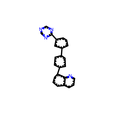 c1cc(-c2ccc(-c3cccc4cccnc34)cc2)cc(-c2ncncn2)c1